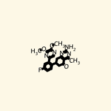 COc1ncc(-c2cc(F)ccc2C2CC(=O)c3c(C)nc(N)nc3C2)nc1OC